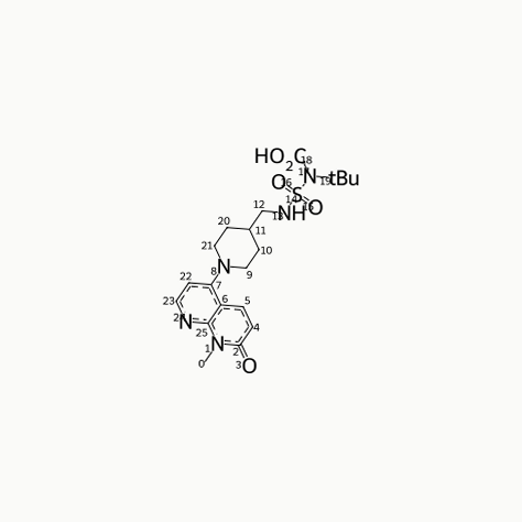 Cn1c(=O)ccc2c(N3CCC(CNS(=O)(=O)N(C(=O)O)C(C)(C)C)CC3)ccnc21